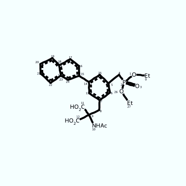 CCOP(=O)(Cc1cc(CC(NC(C)=O)(C(=O)O)C(=O)O)cc(-c2ccc3ccccc3c2)c1)OCC